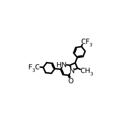 CC1C(C2=CCC(C(F)(F)F)C=C2)C2NC(C3=CCC(C(F)(F)F)CC3)=CC(=O)N12